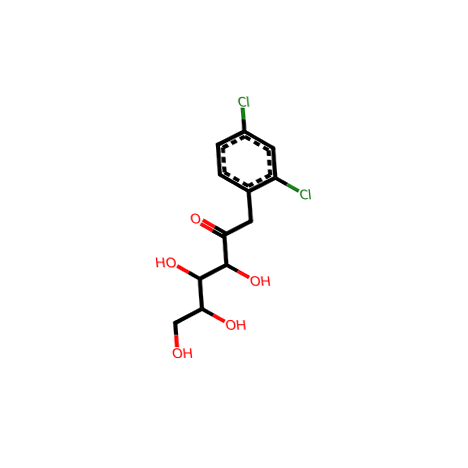 O=C(Cc1ccc(Cl)cc1Cl)C(O)C(O)C(O)CO